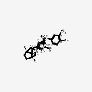 Cc1cc(N2C[C@H]3CC[C@@H](C2)[C@@H]3Nc2nc(Oc3ccc(F)c(C(F)(F)F)c3)n(C(C)C)n2)sn1